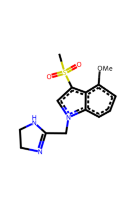 COc1cccc2c1c(S(C)(=O)=O)cn2CC1=NCCN1